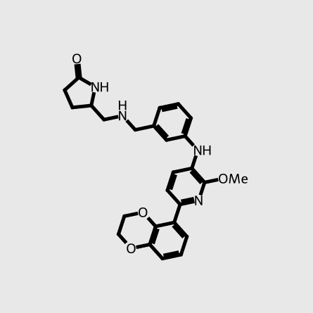 COc1nc(-c2cccc3c2OCCO3)ccc1Nc1cccc(CNCC2CCC(=O)N2)c1